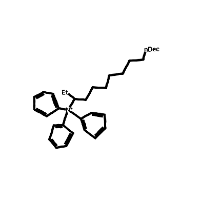 CCCCCCCCCCCCCCCCCC(CC)[N+](c1ccccc1)(c1ccccc1)c1ccccc1